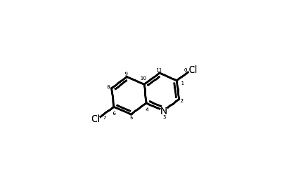 Clc1cnc2cc(Cl)ccc2c1